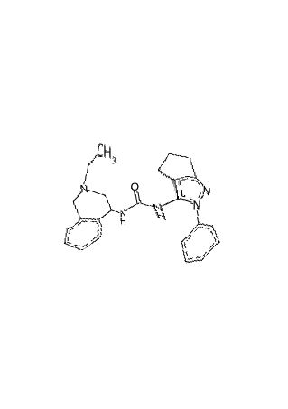 CCN1Cc2ccccc2C(NC(=O)Nc2c3c(nn2-c2ccccc2)CCC3)C1